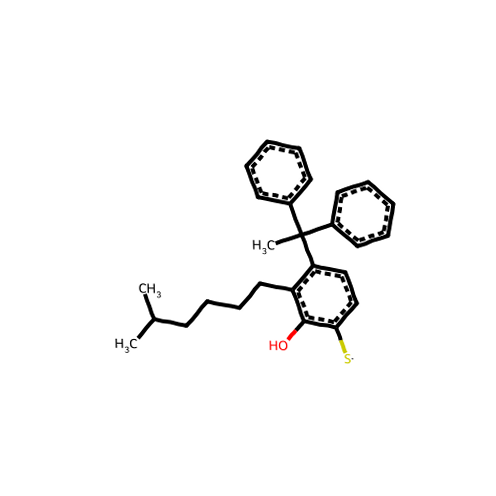 CC(C)CCCCc1c(C(C)(c2ccccc2)c2ccccc2)ccc([S])c1O